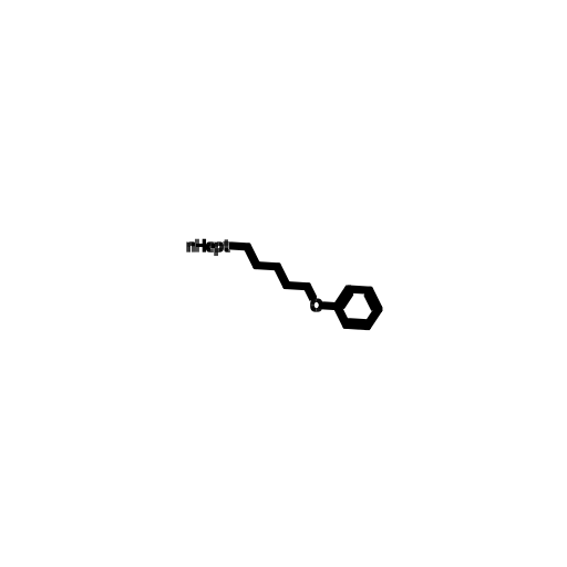 CCCCCCCCCCCCOc1ccccc1